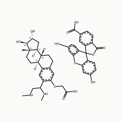 CNCC(NC)c1cc2c(cc1OCC(=O)O)CC[C@@H]1[C@@H]2CC[C@]2(C)[C@@H](O)[C@H](O)C[C@@H]12.O=C(O)c1ccc2c(c1)C1(OC2=O)c2ccc(O)cc2Oc2cc(O)ccc21